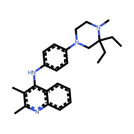 CCC1(CC)CN(c2ccc(Nc3c(C)c(C)nc4ccccc34)cc2)CCN1C